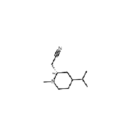 CC(C)C1CCN(C)[C@H](CC#N)C1